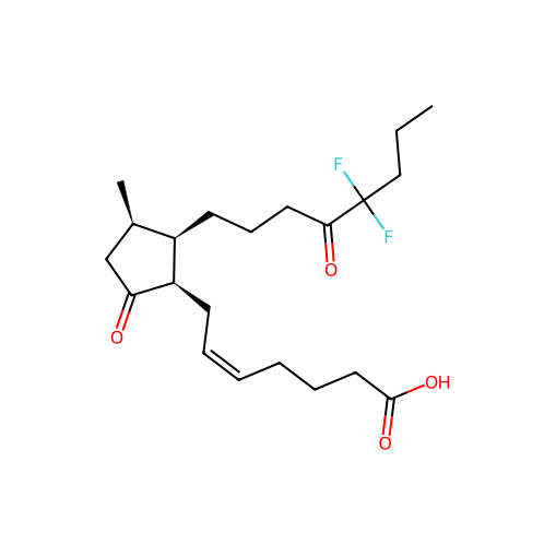 CCCC(F)(F)C(=O)CCC[C@@H]1[C@H](C)CC(=O)[C@@H]1C/C=C\CCCC(=O)O